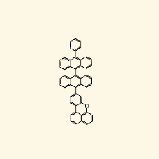 c1ccc(-c2c3ccccc3c(-c3c4ccccc4c(-c4ccc5c(c4)Oc4cccc6cccc-5c46)c4ccccc34)c3ccccc23)cc1